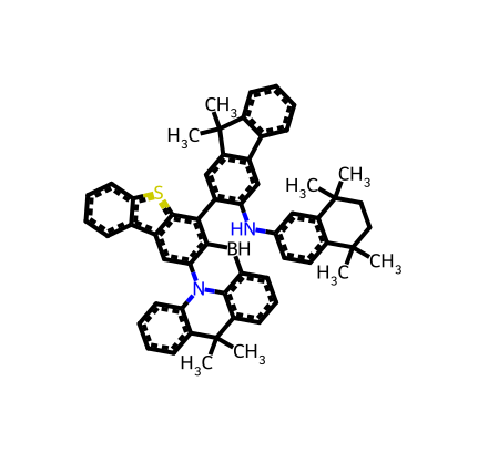 CC1(C)CCC(C)(C)c2cc(Nc3cc4c(cc3-c3c5c(cc6c3sc3ccccc36)N3c6ccccc6C(C)(C)c6cccc(c63)B5)C(C)(C)c3ccccc3-4)ccc21